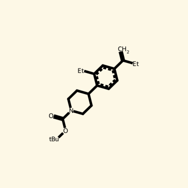 C=C(CC)c1ccc(C2CCN(C(=O)OC(C)(C)C)CC2)c(CC)c1